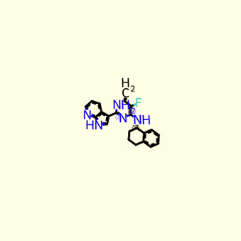 C=C/C(F)=C(\N=C(/N)c1c[nH]c2ncccc12)N[C@H]1CCCc2ccccc21